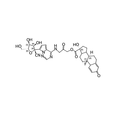 N#C[C@@]1(c2ccc3c(NCC(=O)COC(=O)[C@@]4(O)CCC5C4CC[C@@]4(F)C6C=CC(=O)C=C6CC[C@H]54)ncnn23)O[C@H](CO)[C@@H](O)[C@H]1O